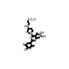 O=C(O)CCNC1CCN(c2nc(-c3cc(F)c(Cl)cc3F)nc3c2CS(O)(O)C3)CC1